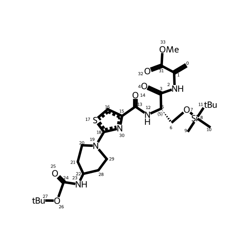 C=C(NC(=O)[C@H](CO[Si](C)(C)C(C)(C)C)NC(=O)c1csc(N2CCC(NC(=O)OC(C)(C)C)CC2)n1)C(=O)OC